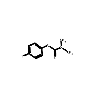 CN(C)C(=O)Oc1ccc(F)cc1